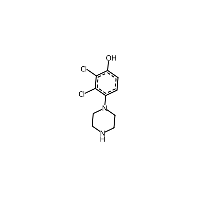 Oc1ccc(N2CCNCC2)c(Cl)c1Cl